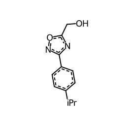 CC(C)c1ccc(-c2noc(CO)n2)cc1